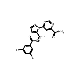 C[C@H](NC(=O)c1cc(Cl)cc(Cl)c1)c1ncnn1-c1cc(C(N)=O)ncn1